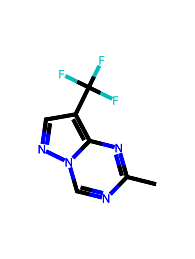 Cc1ncn2ncc(C(F)(F)F)c2n1